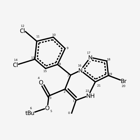 CC1=C(C(=O)OC(C)(C)C)C(c2ccc(Cl)c(Cl)c2)n2ncc(Br)c2N1